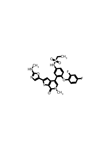 CCS(=O)(=O)Nc1ccc(Oc2ccc(F)cc2F)c(-c2cn(C)c(=O)c3sc(-c4cnc(NC)o4)cc23)c1